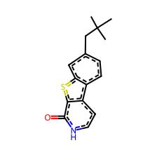 CC(C)(C)Cc1ccc2c(c1)sc1c(=O)[nH]ccc12